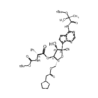 CCCCOC(C)(C)C(=O)Nc1ncnn2c([C@]3(C#N)O[C@H](COC(=O)CC4CCCC4)[C@@H](OC(=O)[C@H](NC(=O)OC(C)(C)C)C(C)C)[C@H]3O)ccc12